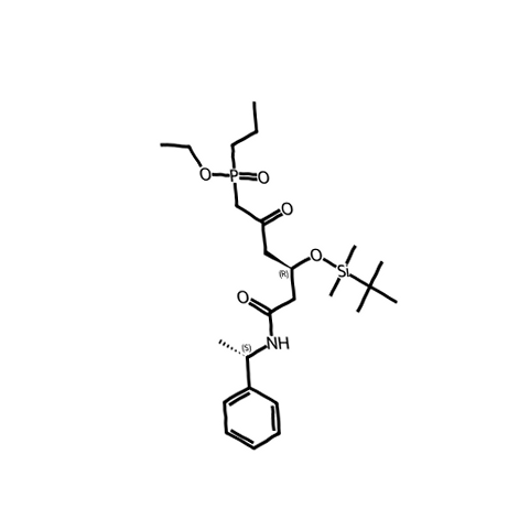 CCCP(=O)(CC(=O)C[C@H](CC(=O)N[C@@H](C)c1ccccc1)O[Si](C)(C)C(C)(C)C)OCC